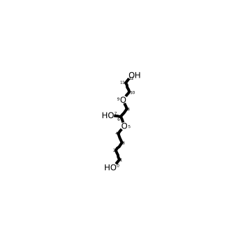 OCCCCOC(O)COCCO